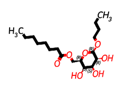 CCCCCCCC(=O)OC[C@H]1O[C@@H](OCCCC)[C@H](O)[C@@H](O)[C@@H]1O